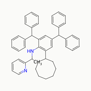 CC(Nc1c(C2CCCCCCC2)cc(C(c2ccccc2)c2ccccc2)cc1C(c1ccccc1)c1ccccc1)c1ccccn1